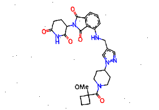 COC1(C(=O)N2CCC(n3cc(CNc4cccc5c4C(=O)N(C4CCC(=O)NC4=O)C5=O)cn3)CC2)CCC1